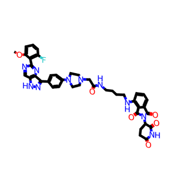 COc1cccc(F)c1-c1ncc2[nH]nc(-c3ccc(N4CCN(CC(=O)NCCCCNc5cccc6c5C(=O)N(C5CCC(=O)NC5=O)C6=O)CC4)cc3)c2n1